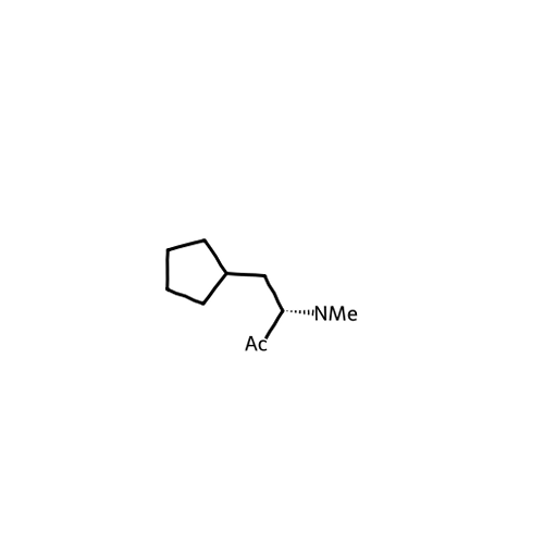 CN[C@@H](CC1CCCC1)C(C)=O